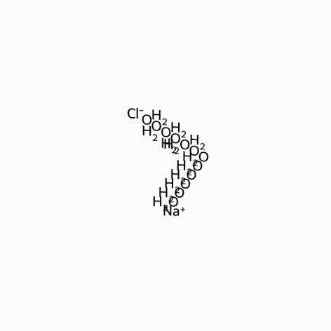 O.O.O.O.O.O.O.O.O.O.O.O.[Cl-].[Na+]